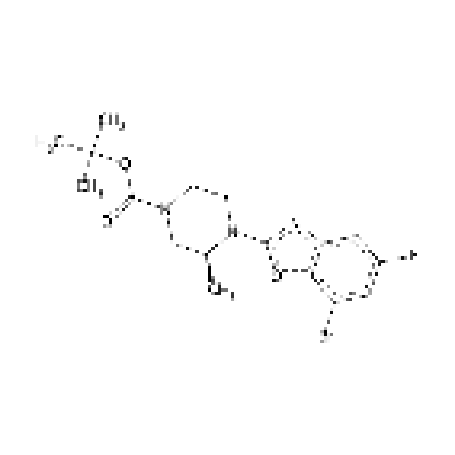 C[C@H]1CN(C(=O)OC(C)(C)C)CCN1c1nc2cc(F)cc(Br)c2o1